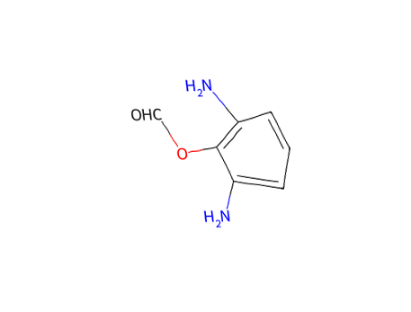 Nc1cccc(N)c1OC=O